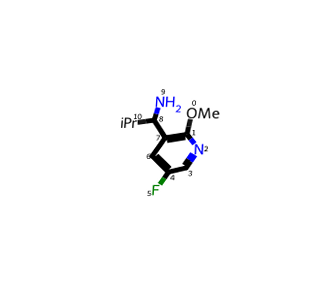 COc1ncc(F)cc1C(N)C(C)C